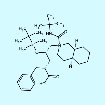 CC(C)(C)NC(=O)[N+]1(C[C@H](C[C@@H](Cc2ccccc2)C(=O)O)O[Si](C)(C)C(C)(C)C)CC[C@@H]2CCCC[C@@H]2C1